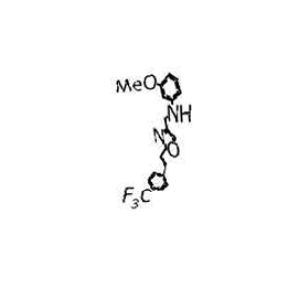 COc1cccc(NCc2coc(/C=C/c3ccc(C(F)(F)F)cc3)n2)c1